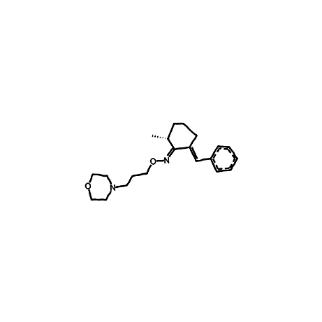 C[C@@H]1CCCC(=C\c2ccccc2)/C1=N/OCCCN1CCOCC1